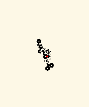 CC(C(=O)NC(Cc1ccc(NC(=O)OCC2c3ccccc3-c3ccccc32)cc1)C(=O)N1CCCC1c1cncc(C(=O)c2ccc(F)cc2)c1)N(C)C(=O)OC(C)(C)C